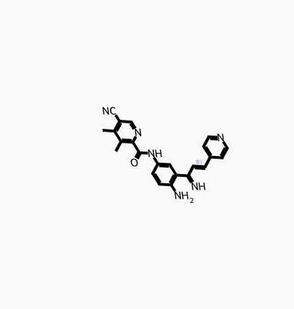 Cc1c(C#N)cnc(C(=O)Nc2ccc(N)c(C(=N)/C=C/c3ccncc3)c2)c1C